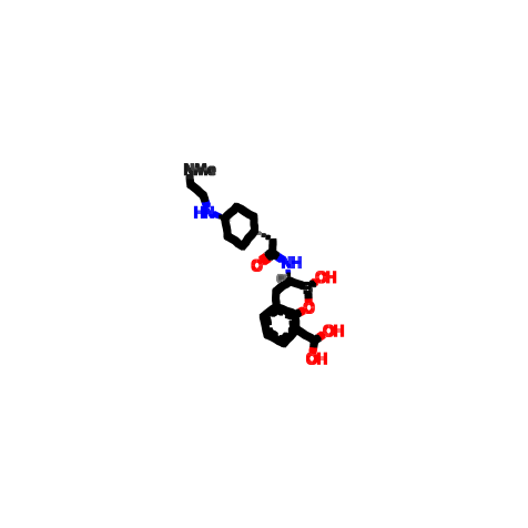 CNCCN[C@H]1CC[C@H](CC(=O)N[C@H]2Cc3cccc(C(O)O)c3OB2O)CC1